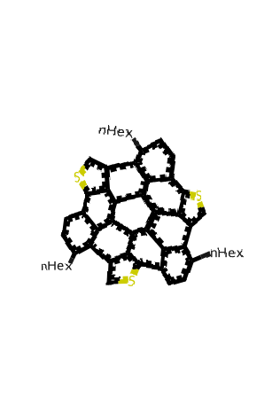 CCCCCCc1ccc2c3scc4c5c(CCCCCC)ccc6c7scc8c9c(CCCCCC)ccc%10c%11scc%12c1c2c1c(c43)c(c65)c(c87)c(c%109)c1c%12%11